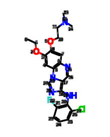 CCOc1cc2c(cc1OCCN(C)C)ncc1c(Nc3c(F)cccc3Cl)ncn12